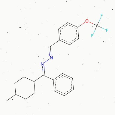 CC1CCC(C(=NN=Cc2ccc(OC(F)(F)F)cc2)c2ccccc2)CC1